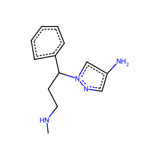 CNCCC(c1ccccc1)n1cc(N)cn1